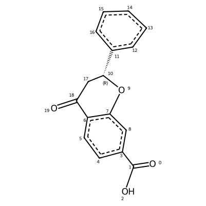 O=C(O)c1ccc2c(c1)O[C@@H](c1ccccc1)CC2=O